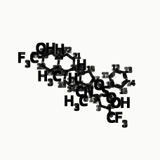 C[C@@H](C(CC(O)C(F)(F)F)S(=O)(=O)c1ccccc1)[C@@H]1CC[C@H]2[C@@H]3CC[C@H]4C[C@](O)(C(F)(F)F)CC[C@]4(C)C3CC[C@@]21C